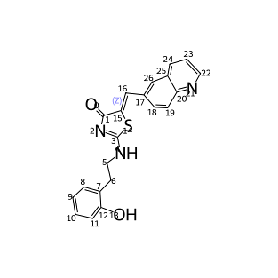 O=C1N=C(NCCc2ccccc2O)S/C1=C\c1ccc2ncccc2c1